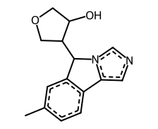 Cc1ccc2c(c1)C(C1COCC1O)n1cncc1-2